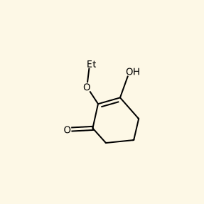 CCOC1=C(O)CCCC1=O